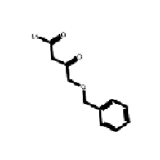 CCC(=O)CC(=O)COCc1ccccc1